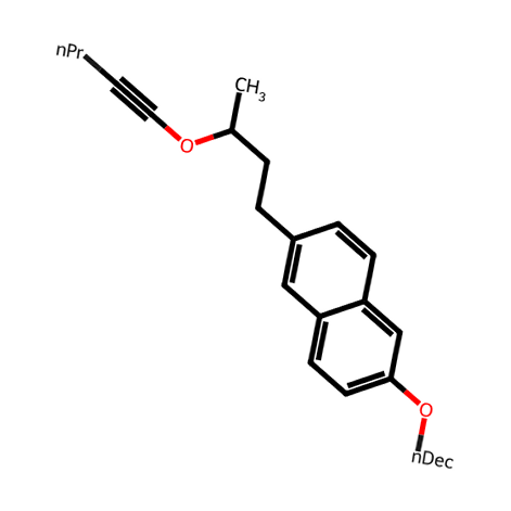 CCCC#COC(C)CCc1ccc2cc(OCCCCCCCCCC)ccc2c1